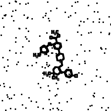 COC(=O)c1ccc(C2=CCN(CC3=C(c4ccc(Cl)cc4)CC(C)(C)CC3)CC2)cc1Oc1ccc(N)nc1